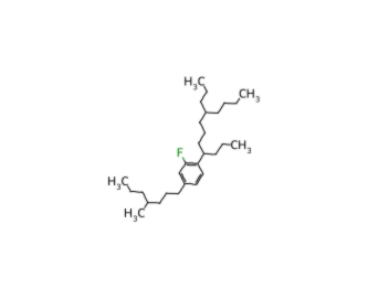 CCCCC(CCC)CCCC(CCC)c1ccc(CCCC(C)CCC)cc1F